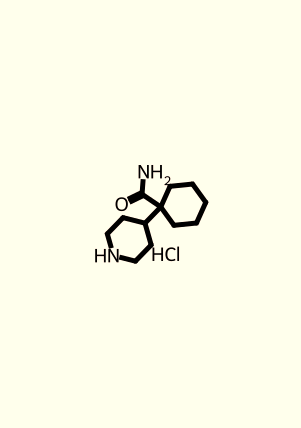 Cl.NC(=O)C1(C2CCNCC2)CCCCC1